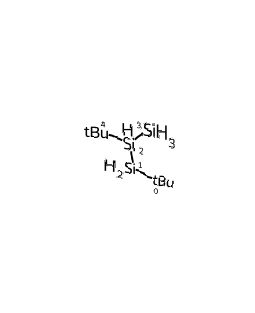 CC(C)(C)[SiH2][SiH]([SiH3])C(C)(C)C